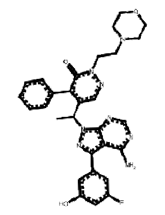 CC(c1cnn(CCN2CCOCC2)c(=O)c1-c1ccccc1)n1nc(-c2cc(O)cc(F)c2)c2c(N)ncnc21